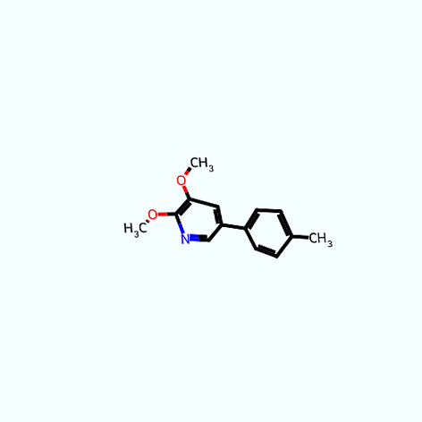 COc1cc(-c2ccc(C)cc2)cnc1OC